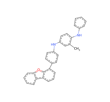 Cc1cc(Nc2ccc(-c3cccc4c3oc3ccccc34)cc2)ccc1Nc1ccccc1